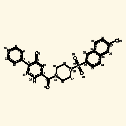 O=C(c1nc(=O)c(-c2ccncc2)n[nH]1)N1CCN(S(=O)(=O)c2ccc3cc(Cl)ccc3c2)CC1